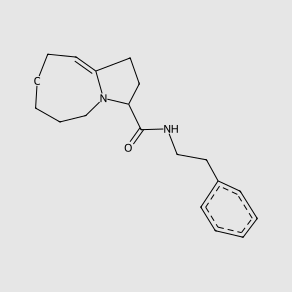 O=C(NCCc1ccccc1)C1CCC2=CCCCCCN21